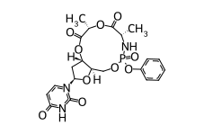 C[C@@H]1NP(=O)(Oc2ccccc2)OC[C@H]2O[C@@H](n3ccc(=O)[nH]c3=O)C[C@@H]2OC(=O)[C@H](C)OC1=O